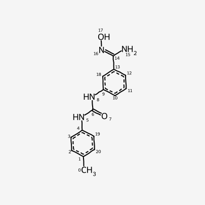 Cc1ccc(NC(=O)Nc2cccc(C(N)=NO)c2)cc1